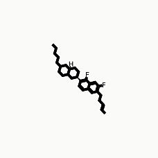 C/C=C/CCc1cc2ccc([C@@H]3CC[C@@H]4CC(CCCCC)CCC4C3)c(F)c2cc1F